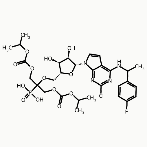 CC(C)OC(=O)OCC(COC(=O)OC(C)C)(OC[C@H]1O[C@@H](n2ccc3c(NC(C)c4ccc(F)cc4)nc(Cl)nc32)[C@H](O)[C@@H]1O)P(=O)(O)O